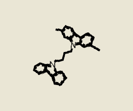 Cc1ccc2c3ccc(C)cc3n(CCCCn3c4ccccc4c4ccccc43)c2c1